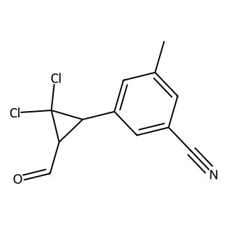 Cc1cc(C#N)cc(C2C(C=O)C2(Cl)Cl)c1